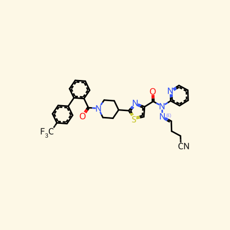 N#CCC/C=N/N(C(=O)c1csc(C2CCN(C(=O)c3ccccc3-c3ccc(C(F)(F)F)cc3)CC2)n1)c1ccccn1